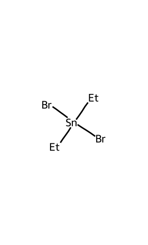 C[CH2][Sn]([Br])([Br])[CH2]C